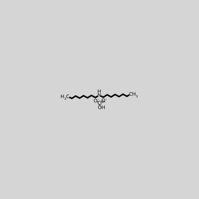 CCCCCCCCNCCCCCCCC.[O-][Cl+2]([O-])O